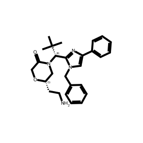 CC(C)(C)[C@H](c1nc(-c2ccccc2)cn1Cc1ccccc1)N1C[C@H](CCN)OCC1=O